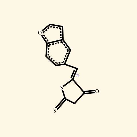 O=C1CC(=S)S/C1=C\c1ccc2occc2c1